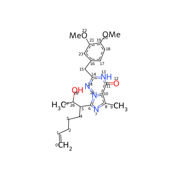 C=CCCCC(c1nc(C)c2c(=O)[nH]c(Cc3ccc(OC)c(OC)c3)nn12)C(C)O